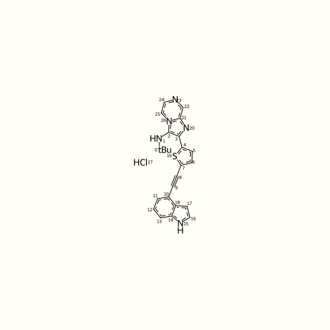 CC(C)(C)Nc1c(-c2ccc(C#Cc3cccc4[nH]ccc34)s2)nc2cnccn12.Cl